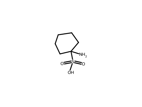 NC1(S(=O)(=O)O)CCCCC1